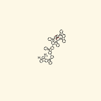 CC1(C)c2ccccc2-c2cc3c4ccccc4n(-c4cccc(-c5ccc6c(c5)c5ccc(-c7cc8c9ccccc9n(-c9ccccc9)c8c8c7c7ccccc7n8-c7cccc(-n8c9ccccc9c9ccc%10c%11ccccc%11n(-c%11ccccc%11)c%10c98)c7)cc5n6-c5ccccc5)c4)c3cc21